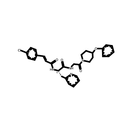 O=C(C=Cc1ccc(Cl)cc1)N[C@@H](Cc1ccccn1)C(=O)NCC(=O)N1CCC(Oc2ccccc2)CC1